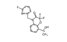 C[C@@H](O)c1cccc2c1OC(F)(F)C(=O)N2Cc1cccc(F)n1